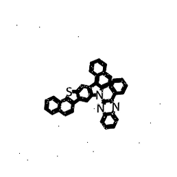 c1ccc(-c2nc3ccccc3nc2-n2c3cc4c(cc3c3c5ccccc5ccc32)sc2c3ccccc3ccc42)cc1